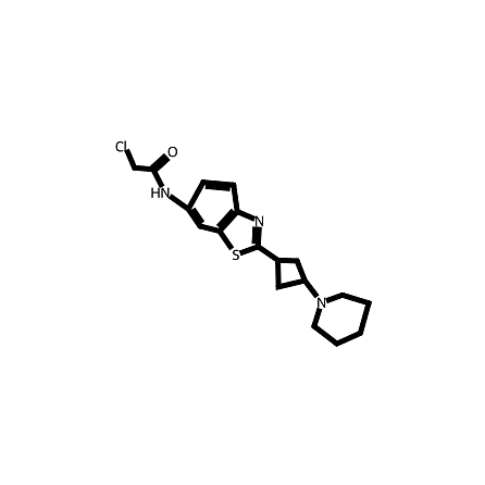 O=C(CCl)Nc1ccc2nc(C3CC(N4CCCCC4)C3)sc2c1